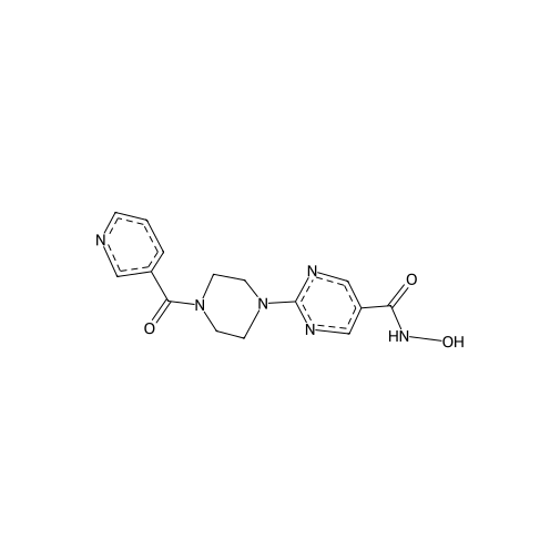 O=C(NO)c1cnc(N2CCN(C(=O)c3cccnc3)CC2)nc1